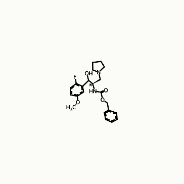 COc1ccc(F)c(C(O)[C@@H](CN2CCCC2)NC(=O)OCc2ccccc2)c1